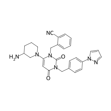 N#Cc1ccccc1Cn1c(N2CCCC(N)C2)cc(=O)n(Cc2ccc(-n3cccn3)cc2)c1=O